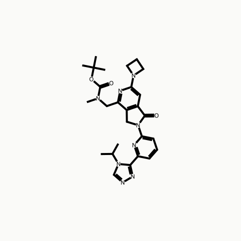 CC(C)n1cnnc1-c1cccc(N2Cc3c(cc(N4CCC4)nc3CN(C)C(=O)OC(C)(C)C)C2=O)n1